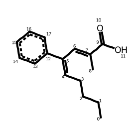 CCCCC=C(C=C(C)C(=O)O)c1ccccc1